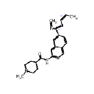 C=N/C(=C\C=C/C)c1ccc2cnc(NC(=O)C3CCN(C)CC3)cc2c1